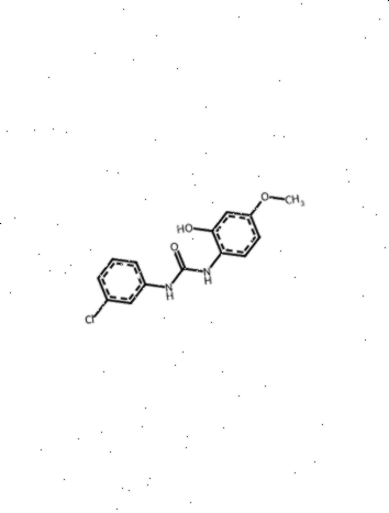 COc1ccc(NC(=O)Nc2cccc(Cl)c2)c(O)c1